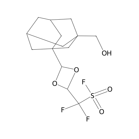 O=S(=O)(F)C(F)(F)C1OC(C23CC4CC(CC(CO)(C4)C2)C3)O1